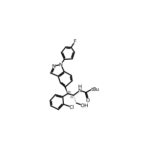 CC(C)(C)C(=O)N[C@H](CO)[C@H](c1ccc2c(cnn2-c2ccc(F)cc2)c1)c1ccccc1Cl